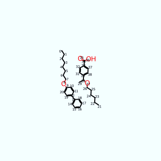 CCCCCCCCOc1ccc(-c2ccccc2)cc1.CCCCCCOC(C)c1ccc(C(=O)O)cc1